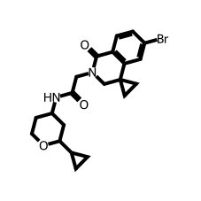 O=C(CN1CC2(CC2)c2cc(Br)ccc2C1=O)NC1CCOC(C2CC2)C1